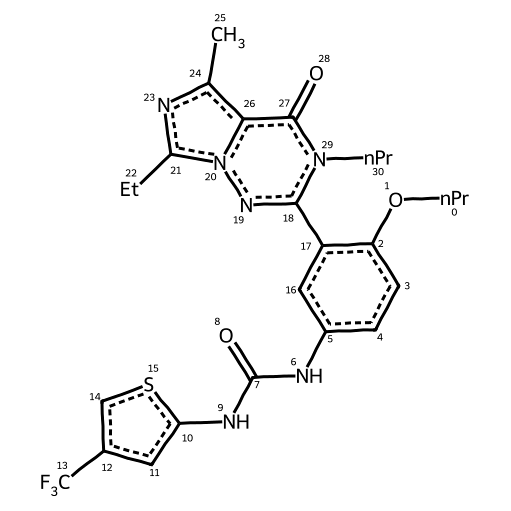 CCCOc1ccc(NC(=O)Nc2cc(C(F)(F)F)cs2)cc1-c1nn2c(CC)nc(C)c2c(=O)n1CCC